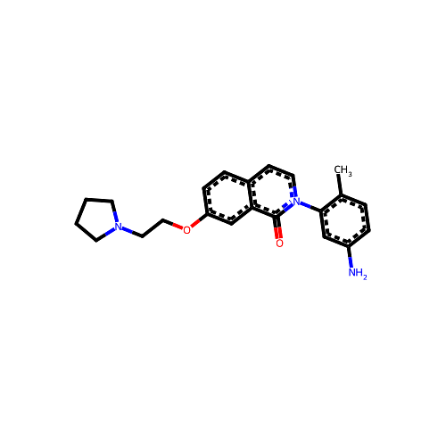 Cc1ccc(N)cc1-n1ccc2ccc(OCCN3CCCC3)cc2c1=O